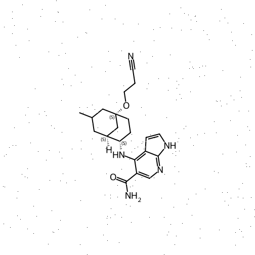 CC1C[C@H]2C[C@](OCCC#N)(CC[C@@H]2Nc2c(C(N)=O)cnc3[nH]ccc23)C1